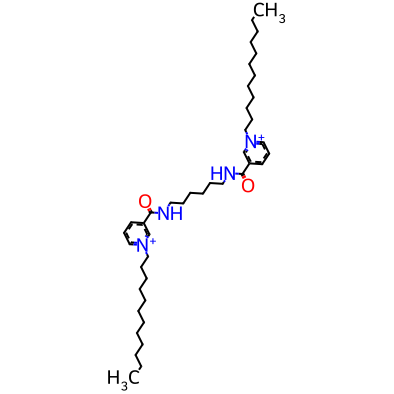 CCCCCCCCCCCC[n+]1cccc(C(=O)NCCCCCCNC(=O)c2ccc[n+](CCCCCCCCCCCC)c2)c1